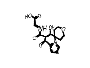 O=C(O)CNC(=O)C1=C(O)C2(CCOCC2)n2cccc2C1=O